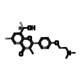 Cc1cc([C@H](C)O)c2oc(-c3ccc(OCCN(C)C)cc3)c(C)c(=O)c2c1